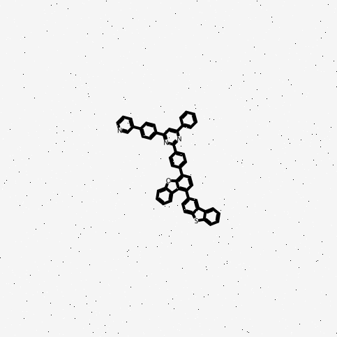 c1ccc(-c2cc(-c3ccc(-c4cccnc4)cc3)nc(-c3ccc(-c4ccc(-c5ccc6sc7ccccc7c6c5)c5c4oc4ccccc45)cc3)n2)cc1